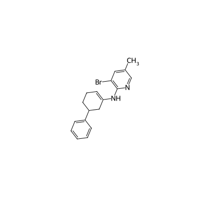 Cc1cnc(NC2=CCCC(c3ccccc3)C2)c(Br)c1